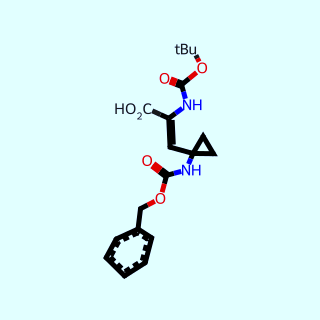 CC(C)(C)OC(=O)N/C(=C\C1(NC(=O)OCc2ccccc2)CC1)C(=O)O